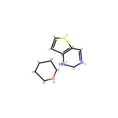 C1=NCNc2ccsc21.C1CCOCC1